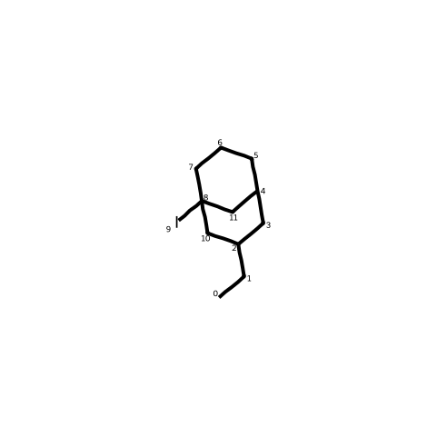 CCC1CC2CCCC(I)(C1)C2